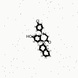 O=C1CCN(c2ccc(Cl)cc2)c2cc(O)ccc2N1c1ccc2ccccc2c1